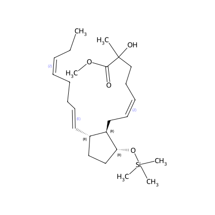 CC/C=C\CC/C=C/[C@H]1CC[C@@H](O[Si](C)(C)C)[C@@H]1C/C=C\CCC(C)(O)C(=O)OC